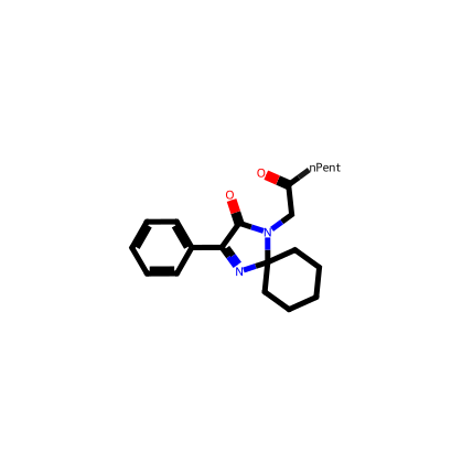 CCCCCC(=O)CN1C(=O)C(c2ccccc2)=NC12CCCCC2